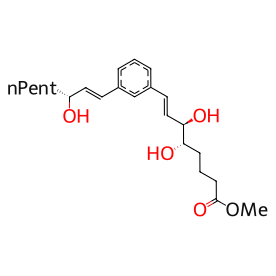 CCCCC[C@@H](O)C=Cc1cccc(C=C[C@@H](O)[C@@H](O)CCCC(=O)OC)c1